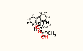 C[C@H](CC(C)(C)[Si](O)(c1ccccc1)c1ccccc1)C(=O)O